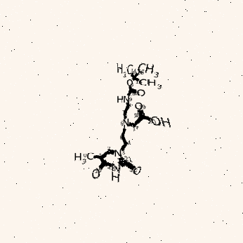 Cc1cn(CCN(CCNC(=O)OC(C)(C)C)CC(=O)O)c(=O)[nH]c1=O